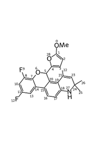 COc1ccc(C2Oc3c(F)cc(F)cc3-c3ccc4c(c32)C(C)=CC(C)(C)N4)o1